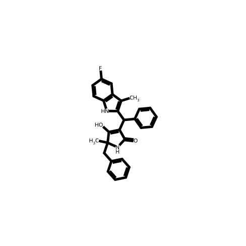 Cc1c(C(C2=C(O)C(C)(Cc3ccccc3)NC2=O)c2ccccc2)[nH]c2ccc(F)cc12